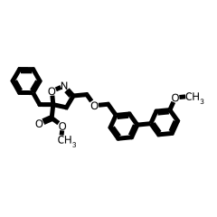 COC(=O)C1(Cc2ccccc2)CC(COCc2cccc(-c3cccc(OC)c3)c2)=NO1